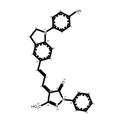 CCCc1ccc(N2CCc3cc(/C=C/C=C4\C(=O)N(c5ccccc5)N=C4C(=O)O)ccc32)cc1